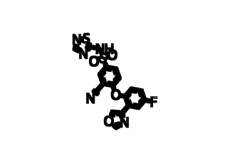 N#Cc1cc(S(=O)(=O)Nc2ncns2)ccc1Oc1ccc(F)cc1-c1cocn1